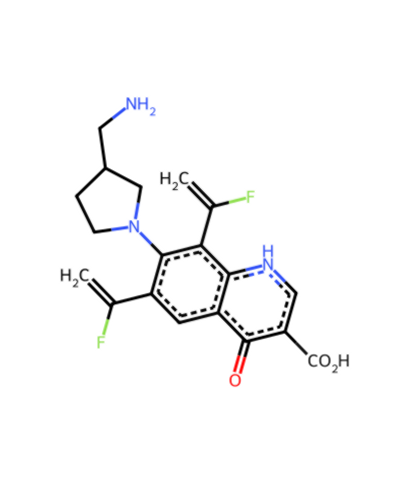 C=C(F)c1cc2c(=O)c(C(=O)O)c[nH]c2c(C(=C)F)c1N1CCC(CN)C1